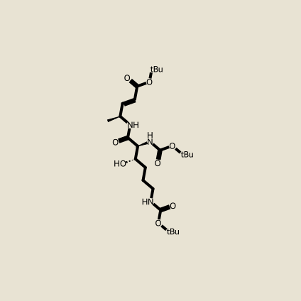 C[C@@H](/C=C/C(=O)OC(C)(C)C)NC(=O)[C@@H](NC(=O)OC(C)(C)C)[C@@H](O)CCCNC(=O)OC(C)(C)C